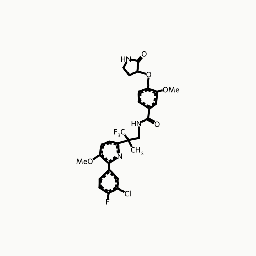 COc1cc(C(=O)NCC(C)(c2ccc(OC)c(-c3ccc(F)c(Cl)c3)n2)C(F)(F)F)ccc1OC1CCNC1=O